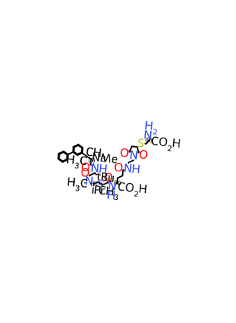 CN[C@H](C(=O)NC(C(=O)N(C)[C@H](/C=C(\C)C(=O)N[C@H](CCC(=O)NCCN1C(=O)CC(SC[C@H](N)C(=O)O)C1=O)C(=O)O)C(C)C)C(C)(C)C)C(C)(C)c1cccc(-c2ccccc2)c1